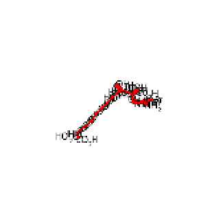 CCCN(CCC)C(=O)C1=Cc2ccc(C(=O)Nc3cnc4c(c3)CN(C(=O)OCc3ccc(O[C@@H]5O[C@H](C(=O)O)[C@@H](O)[C@H](O)[C@H]5O)c(NC(=O)CCNC(=O)CCc5ccc(N6C(=O)C=CC6=O)cc5C(=O)NCC(=O)NCC(=O)NCCOCCOCCOCCOCCOCCOCCOCCOCCOCCOCCOCCOCCC(=O)N[C@@H](CCC(=O)O)C(=O)O)c3)CC4)cc2N=C(N)C1